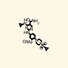 COc1cc(Nc2ncc(C(N)=O)c(NC3CC3)n2)ccc1N1CCN(S(=O)(=O)C2CC2)CC1